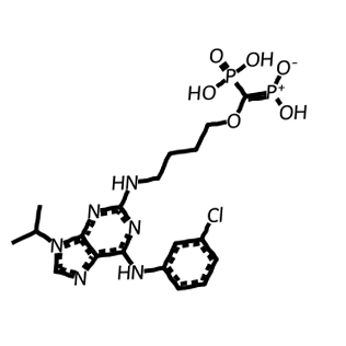 CC(C)n1cnc2c(Nc3cccc(Cl)c3)nc(NCCCCO/C(=[P+](/[O-])O)P(=O)(O)O)nc21